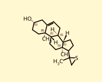 CC1(C2CC[C@H]3[C@@H]4CC=C5C[C@@H](O)CC[C@]5(C)[C@H]4CC[C@]23C)CS1